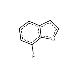 Fc1cc[c]c2ccoc12